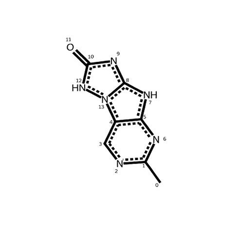 Cc1ncc2c(n1)[nH]c1nc(=O)[nH]n12